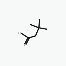 CC(C)(C)CC(=S)Cl